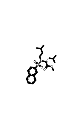 COC(=O)[C@@H](CC(C)C)N(CCC(C)C)S(=O)(=O)c1ccc2ccccc2c1